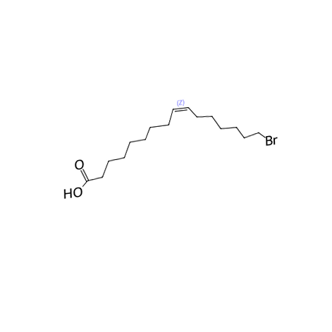 O=C(O)CCCCCCC/C=C\CCCCCCBr